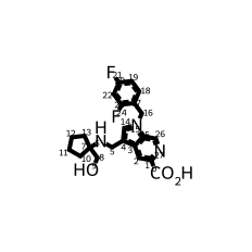 O=C(O)c1cc2c(CNC3(CO)CCCC3)cn(Cc3ccc(F)cc3F)c2cn1